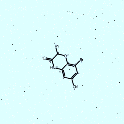 CC(C)C1Oc2c(Br)cc(C#N)cc2NC1=O